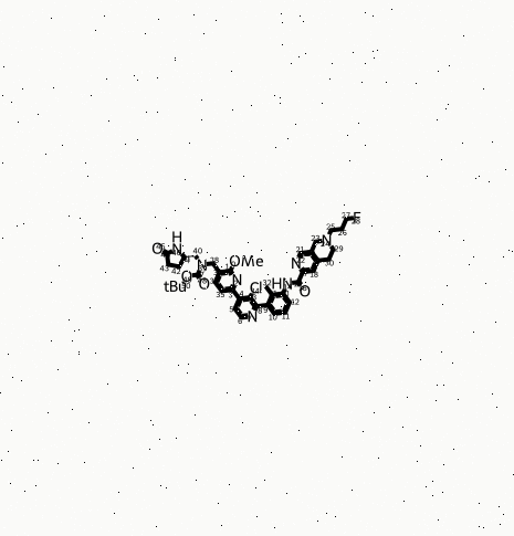 COc1nc(-c2ccnc(-c3cccc(NC(=O)c4cc5c(cn4)CN(CCCF)CC5)c3C)c2Cl)ccc1CN(C[C@@H]1CCC(=O)N1)C(=O)OC(C)(C)C